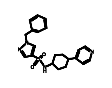 O=S(=O)(NC1CCC(c2ccncc2)CC1)c1cnn(Cc2ccccc2)c1